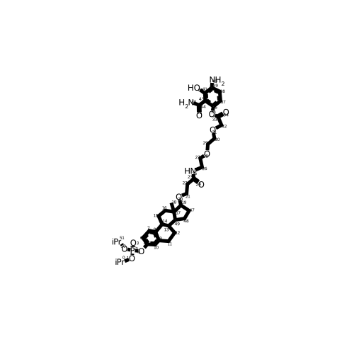 CC(C)OP(=O)(Oc1ccc2c(c1)CCC1C2CCC2(C)C(OCCC(=O)NCCOCCOCC(=O)Oc3ccc(N)c(O)c3C(N)=O)CCC12)OC(C)C